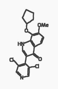 COc1ccc2c(=O)c(-c3c(Cl)cncc3Cl)c[nH]c2c1OC1CCCC1